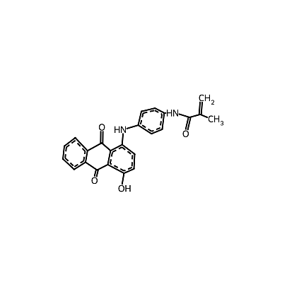 C=C(C)C(=O)Nc1ccc(Nc2ccc(O)c3c2C(=O)c2ccccc2C3=O)cc1